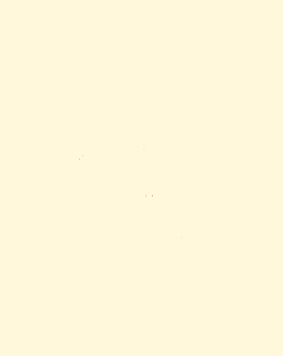 CCC1CC(CCl)OC(CCl)O1